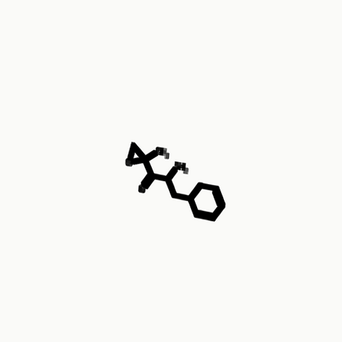 CC1(C(=O)C(N)CC2C=CC=CC2)CO1